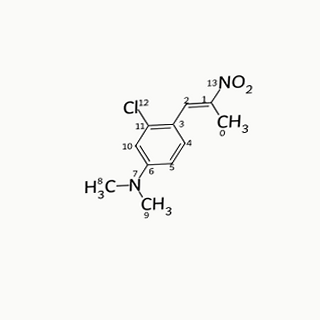 C/C(=C\c1ccc(N(C)C)cc1Cl)[N+](=O)[O-]